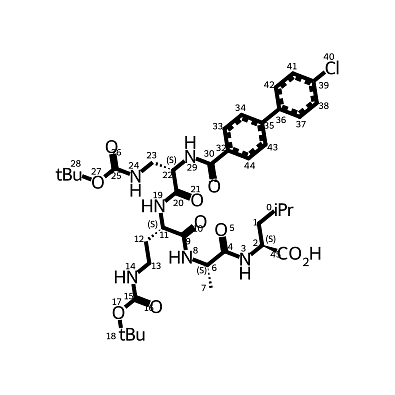 CC(C)C[C@H](NC(=O)[C@H](C)NC(=O)[C@H](CCNC(=O)OC(C)(C)C)NC(=O)[C@H](CNC(=O)OC(C)(C)C)NC(=O)c1ccc(-c2ccc(Cl)cc2)cc1)C(=O)O